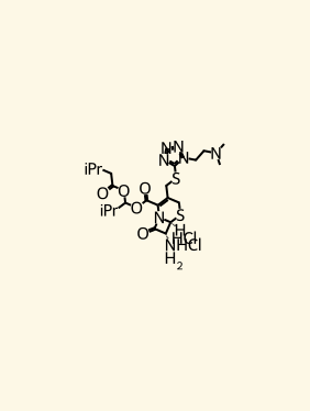 CC(C)CC(=O)OC(OC(=O)C1=C(CSc2nnnn2CCN(C)C)CS[C@H]2[C@H](N)C(=O)N12)C(C)C.Cl.Cl